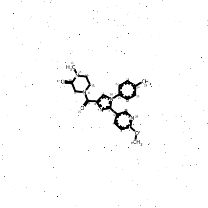 COc1ccc(-c2nc(C(=O)N3CCN(C)C(=O)C3)cn2-c2ccc(C)cc2)cn1